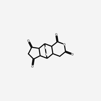 O=C1CC2C3CCC(C2C(=O)O1)C1C(=O)CC(=O)C31